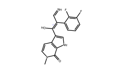 Cn1ccc2c(/C(O)=C(/C=N)c3cccc(F)c3F)c[nH]c2c1=O